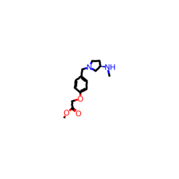 CN[C@@H]1CCN(Cc2ccc(OCC(=O)OC)cc2)C1